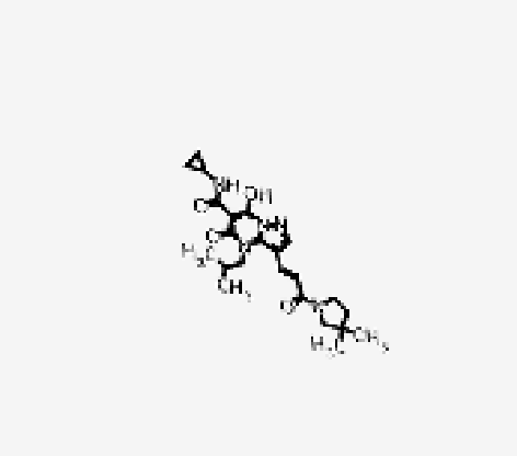 CC(C)Cn1c(=O)c(C(=O)NC2CC2)c(O)n2ncc(C=CC(=O)N3CCC(C)(C)C3)c12